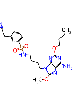 CCCCOc1nc(N)c2nc(OC)n(CCCCNS(=O)(=O)c3cccc(CC#N)c3)c2n1